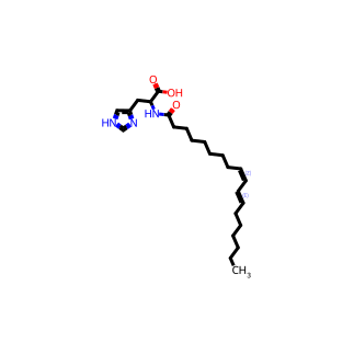 CCCCCC/C=C/C=C\CCCCCCCC(=O)NC(Cc1c[nH]cn1)C(=O)O